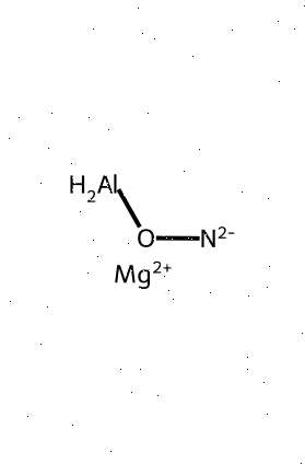 [Mg+2].[N-2][O][AlH2]